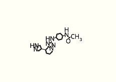 CC(=O)Nc1ccc(Nc2nc3c(-c4cn[nH]c4)cccn3n2)cc1